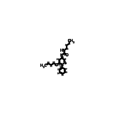 CCCCNC(=O)N=c1cnn(-c2ccccc2)c(OCCCC)c1